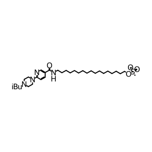 CCC(C)N1CCN(c2ccc(C(=O)NCCCCCCCCCCCCCCCCCOS(C)(=O)=O)cn2)CC1